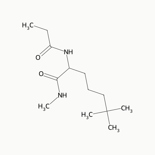 CCC(=O)NC(CCCC(C)(C)C)C(=O)NC